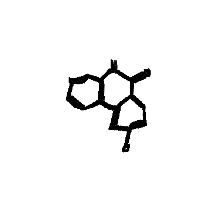 O=c1[nH]c2cnccc2c2cc(Cl)ccc12